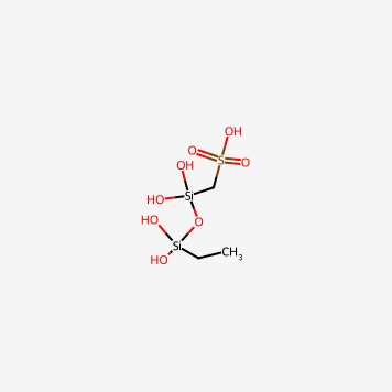 CC[Si](O)(O)O[Si](O)(O)CS(=O)(=O)O